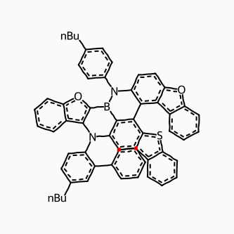 CCCCc1ccc(N2B3c4oc5ccccc5c4N(c4ccc(CCCC)cc4-c4ccccc4)c4cc5c(sc6ccccc65)c(c43)-c3c2ccc2oc4ccccc4c32)cc1